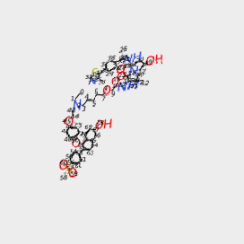 CCN(CCCCCOCC(=O)NC(C(=O)N1CC(O)CC1C(=O)N[C@@H](C)c1ccc(-c2scnc2C)cc1)C(C)(C)C)CCOc1ccc(Oc2c(-c3ccc(S(C)(=O)=O)cc3)ccc3cc(O)ccc23)cc1